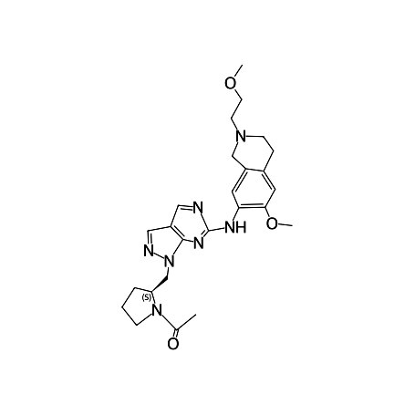 COCCN1CCc2cc(OC)c(Nc3ncc4cnn(C[C@@H]5CCCN5C(C)=O)c4n3)cc2C1